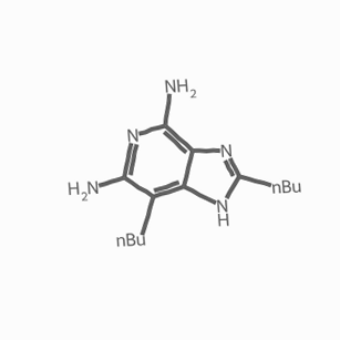 CCCCc1nc2c(N)nc(N)c(CCCC)c2[nH]1